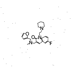 CN(Cc1ccco1)Cc1cc2cc(F)ccc2n(CCN2CCCCC2)c1=O